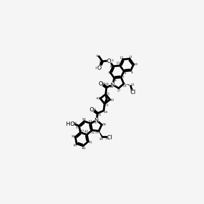 CC(=O)Oc1cc2c(c3ccccc13)[C@H](CCl)CN2C(=O)C12CC(CC(=O)N3C[C@@H](CCl)c4c3cc(O)c3ccccc43)(C1)C2